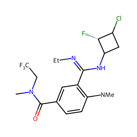 CC/N=C(/NC1CC(Cl)[C@H]1F)c1cc(C(=O)N(C)CC(F)(F)F)ccc1NC